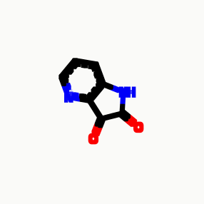 O=C1Nc2cccnc2C1=O